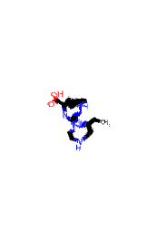 CCC1CNCCN1c1nccc(C(=O)O)n1